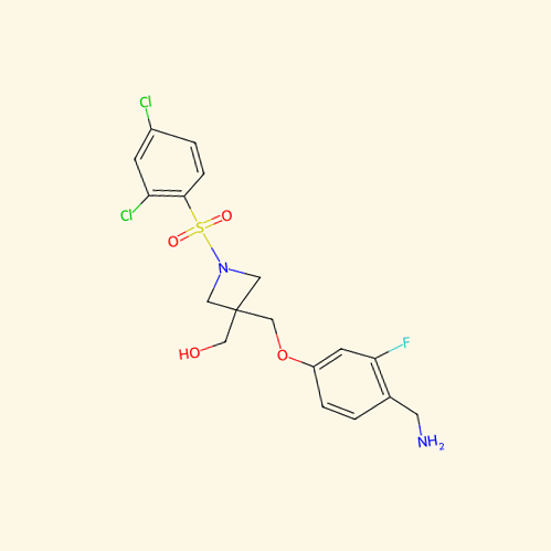 NCc1ccc(OCC2(CO)CN(S(=O)(=O)c3ccc(Cl)cc3Cl)C2)cc1F